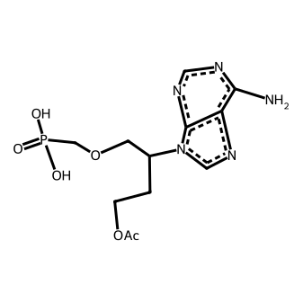 CC(=O)OCCC(COCP(=O)(O)O)n1cnc2c(N)ncnc21